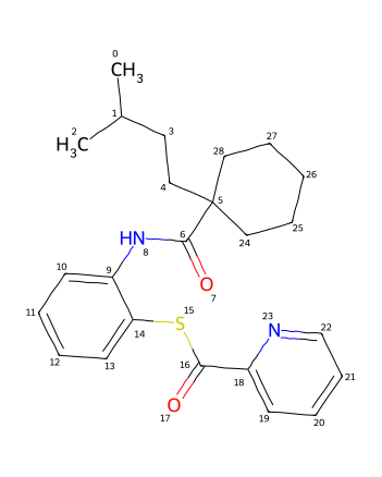 CC(C)CCC1(C(=O)Nc2ccccc2SC(=O)c2ccccn2)CCCCC1